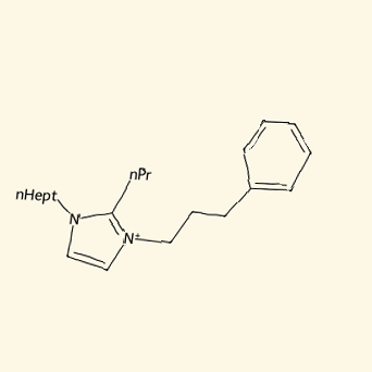 CCCCCCCn1cc[n+](CCCc2ccccc2)c1CCC